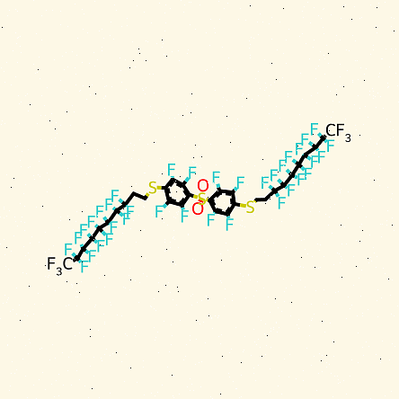 O=S(=O)(c1c(F)c(F)c(SCCC(F)(F)C(F)(F)C(F)(F)C(F)(F)C(F)(F)C(F)(F)C(F)(F)C(F)(F)F)c(F)c1F)c1c(F)c(F)c(SCCC(F)(F)C(F)(F)C(F)(F)C(F)(F)C(F)(F)C(F)(F)C(F)(F)C(F)(F)F)c(F)c1F